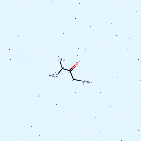 CCCCCCCCC(=O)C(CCCC)C(=O)O